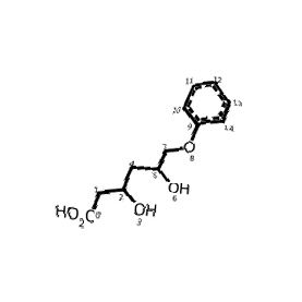 O=C(O)CC(O)CC(O)COc1ccccc1